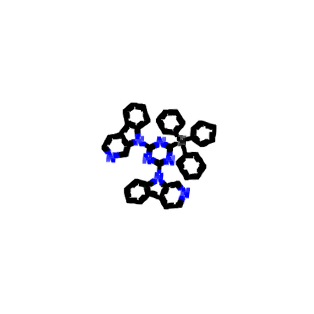 c1ccc([Si](c2ccccc2)(c2ccccc2)c2nc(-n3c4ccccc4c4ccncc43)nc(-n3c4ccccc4c4ccncc43)n2)cc1